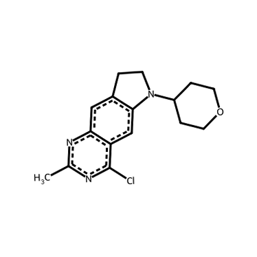 Cc1nc(Cl)c2cc3c(cc2n1)CCN3C1CCOCC1